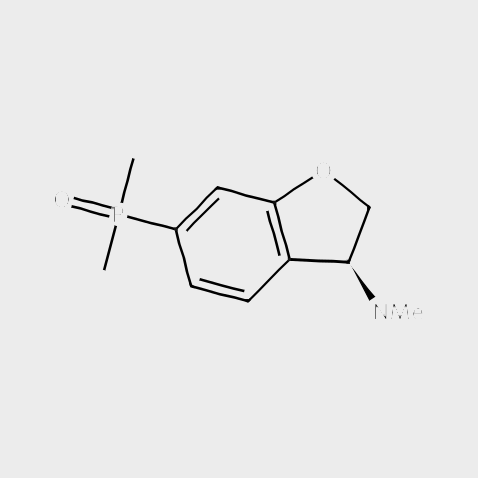 CN[C@@H]1COc2cc(P(C)(C)=O)ccc21